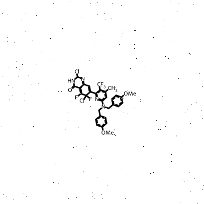 COc1ccc(CN(Cc2ccc(OC)cc2)c2cc(C)c(C(F)(F)F)c(C3=CC4=NC(Cl)NC(=O)C4=C(F)C3(F)Cl)n2)cc1